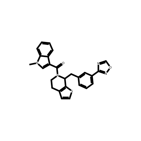 Cn1cc(C(=O)N2CCc3ccsc3C2Cc2cccc(-c3ncon3)c2)c2ccccc21